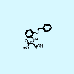 COC(=O)[C@@H](Nc1ccccc1OCc1ccccc1)[C@@H](C)O